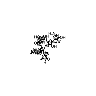 COC1C(O)[C@H](n2c[n+](C)c3c(O)nc(N)nc32)O[C@@H]1COP(=O)(O)OP(=O)(O)OP(=O)(O)OC[C@H]1O[C@@H](n2cnc3c(=O)[nH]c(C)nc32)[C@@H](O)C1OP(=O)(O)OC(C)C